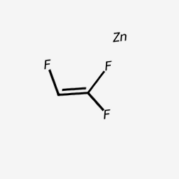 FC=C(F)F.[Zn]